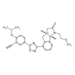 COCCN1C(=O)C[C@H]2Cc3c(-c4noc(-c5ccc(OC(C)C)c(C#N)c5)n4)cccc3[C@H]21